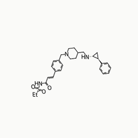 CCS(=O)(=O)NC(=O)C=Cc1ccc(CN2CCC(CN[C@@H]3C[C@H]3c3ccccc3)CC2)cc1